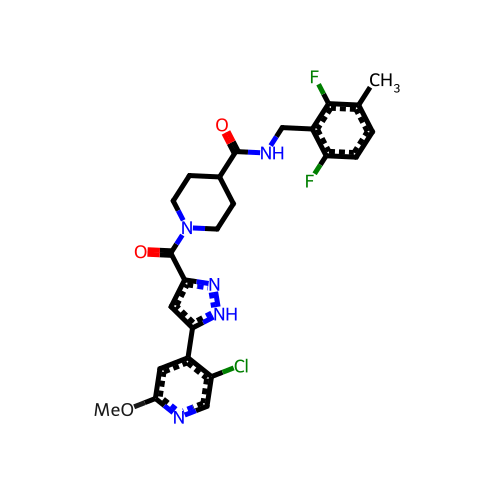 COc1cc(-c2cc(C(=O)N3CCC(C(=O)NCc4c(F)ccc(C)c4F)CC3)n[nH]2)c(Cl)cn1